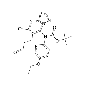 CCOc1ccc(N(C(=O)OC(C)(C)C)c2c(CCC=O)c(Cl)nc3ccnn23)cc1